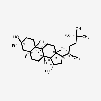 CC[C@]1(O)CC[C@@]2(C)[C@@H](CC[C@H]3[C@@H]4[C@@H](C)C[C@H]([C@H](C)CC[C@](C)(O)C(F)(F)F)[C@@]4(C)CC[C@@H]32)C1